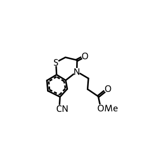 COC(=O)CCN1C(=O)CSc2ccc(C#N)cc21